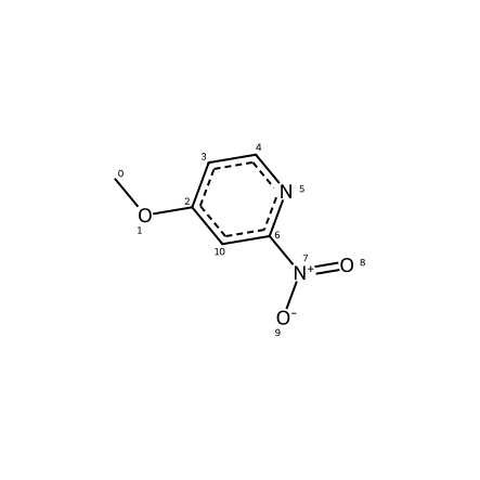 COc1ccnc([N+](=O)[O-])c1